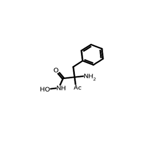 CC(=O)C(N)(Cc1ccccc1)C(=O)NO